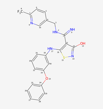 N=C(NCc1ccc(C(F)(F)F)nc1)c1c(O)nsc1Nc1cccc(Oc2ccccc2)c1